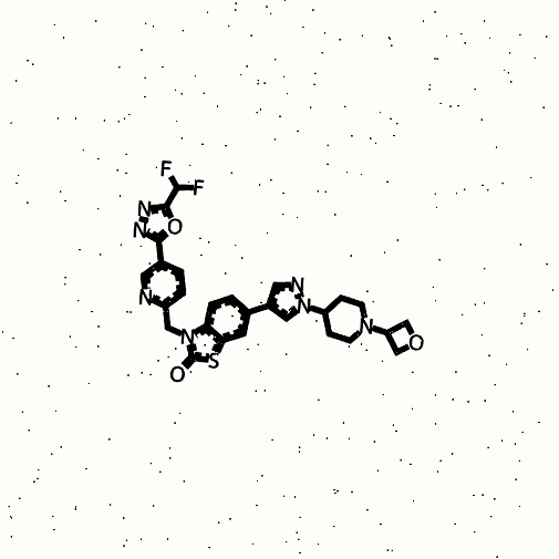 O=c1sc2cc(-c3cnn(C4CCN(C5COC5)CC4)c3)ccc2n1Cc1ccc(-c2nnc(C(F)F)o2)cn1